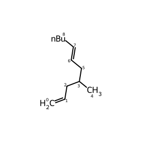 C=CCC(C)CC=CCCCC